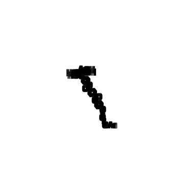 CC(=O)OCCOCCOc1ccc(OC(=O)[C@H]2CC[C@H](C(=O)Oc3ccc(OC(CO)(CO)C(CO)(CO)C(C)=O)cc3)CC2)cc1